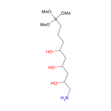 CO[Si](CCCC(O)CC(O)CC(O)CN)(OC)OC